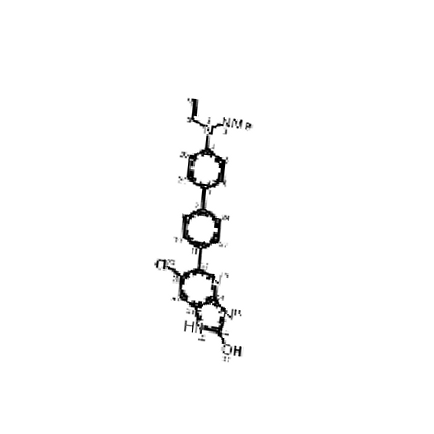 C=CN(NC)c1ccc(-c2ccc(-c3nc4nc(O)[nH]c4cc3Cl)cc2)cc1